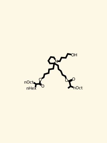 CCCCCCCCC(C)C(=O)OCCCCCC1(CCCCCOC(=O)C(CCCCCC)CCCCCCCC)CCCCN1CCCCO